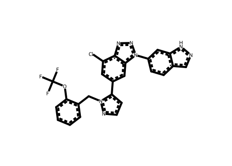 FC(F)(F)Oc1ccccc1Cn1nccc1-c1cc(Cl)c2nnn(-c3ccc4cn[nH]c4c3)c2c1